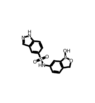 O=S(=O)(Nc1ccc2c(c1)B(O)OC2)c1ccc2[nH]ncc2c1